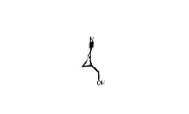 N#CN1CC1CO